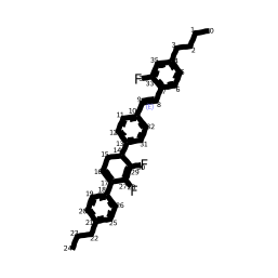 CCCCc1ccc(/C=C/c2ccc(C3CC=C(c4ccc(CCC)cc4)C(F)=C3F)cc2)c(F)c1